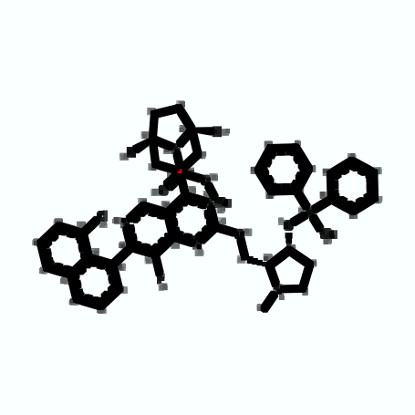 CN1CC[C@@H](O[Si](c2ccccc2)(c2ccccc2)C(C)(C)C)[C@H]1COc1nc(N2C[C@H]3CC[C@@H](C2)N3C(=O)OC(C)(C)C)c2cnc(-c3cccc4cccc(Cl)c34)c(F)c2n1